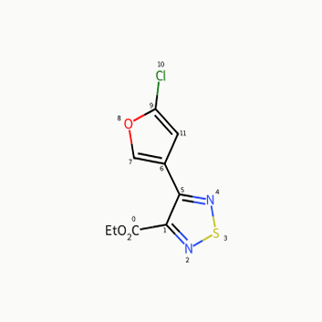 CCOC(=O)c1nsnc1-c1coc(Cl)c1